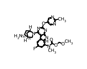 COCOC(=O)N(C)c1cc(F)cc2c1[nH]c1nc(Oc3cnc(C)nc3)nc(N3C[C@H]4C[C@@H]3C[C@H]4N)c12